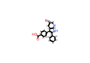 O=C(O)c1ccc(-c2c(-c3ccccc3)[nH]c3ncc(Br)cc23)cc1